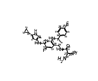 CC(Nc1nc(Nc2cc(C3CC3)[nH]n2)c(F)cc1CNC(=O)C(N)C(C)C)c1ccc(F)cc1